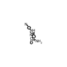 Cn1c(CNc2ccc(C#N)cc2)nc2cc(C(C)(CN)C(=O)N3CCCC3)ccc21